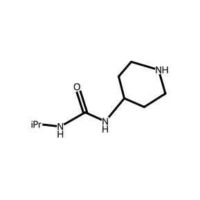 CC(C)NC(=O)NC1CCNCC1